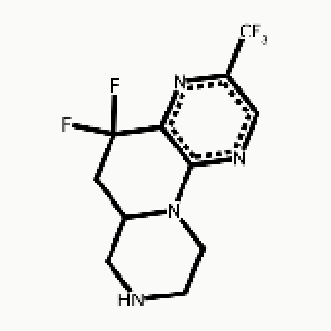 FC(F)(F)c1cnc2c(n1)C(F)(F)CC1CNCCN21